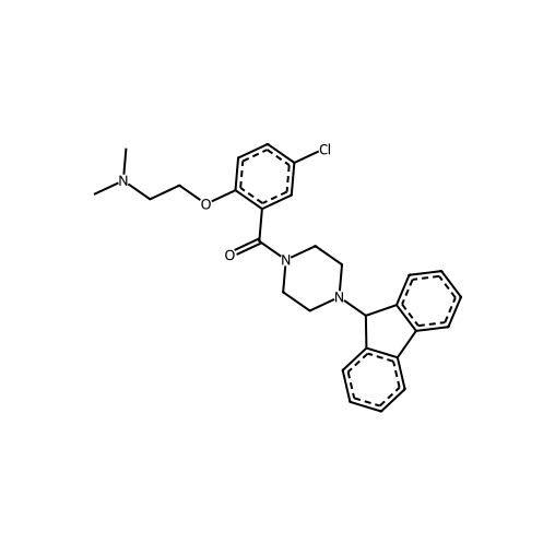 CN(C)CCOc1ccc(Cl)cc1C(=O)N1CCN(C2c3ccccc3-c3ccccc32)CC1